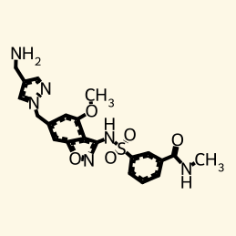 CNC(=O)c1cccc(S(=O)(=O)Nc2noc3cc(Cn4cc(CN)cn4)cc(OC)c23)c1